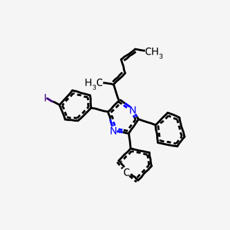 C/C=C\C=C(/C)c1nc(-c2ccccc2)c(-c2ccccc2)nc1-c1ccc(I)cc1